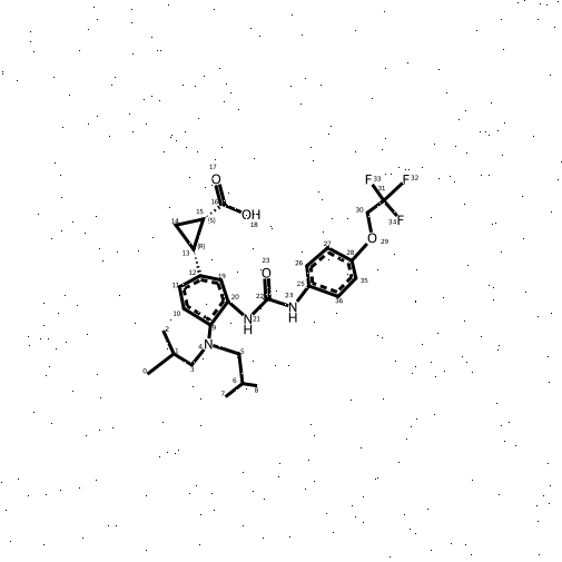 CC(C)CN(CC(C)C)c1ccc([C@@H]2C[C@@H]2C(=O)O)cc1NC(=O)Nc1ccc(OCC(F)(F)F)cc1